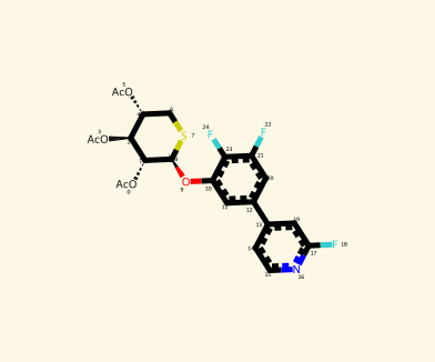 CC(=O)O[C@@H]1[C@@H](OC(C)=O)[C@H](OC(C)=O)CS[C@H]1Oc1cc(-c2ccnc(F)c2)cc(F)c1F